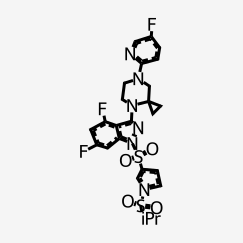 CC(C)S(=O)(=O)n1ccc(S(=O)(=O)n2nc(N3CCN(c4ccc(F)cn4)CC34CC4)c3c(F)cc(F)cc32)c1